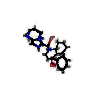 O=C(c1ncc2ncccn12)N1CCC(O)(c2ccccc2)C2CCCCC21